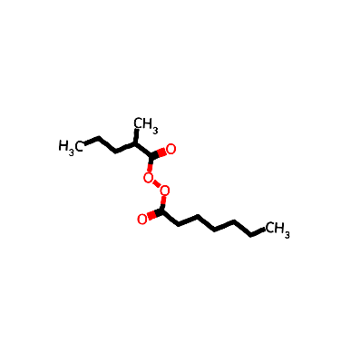 CCCCCCC(=O)OOC(=O)C(C)CCC